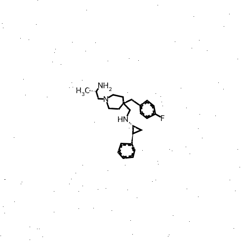 C[C@H](N)CN1CCC(CN[C@@H]2C[C@H]2c2ccccc2)(Cc2ccc(F)cc2)CC1